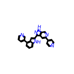 c1cncc(-c2cccc3[nH]c(-c4n[nH]c5cnc(-c6ccncc6)cc45)cc23)c1